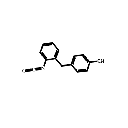 N#Cc1ccc(Cc2ccccc2N=C=O)cc1